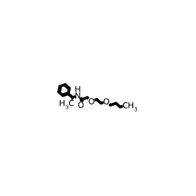 CCCCOCCOCC(=O)N[C@@H](C)c1ccccc1